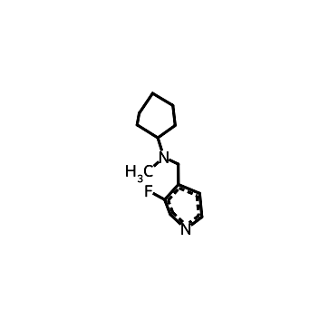 CN(Cc1ccncc1F)C1CCCCC1